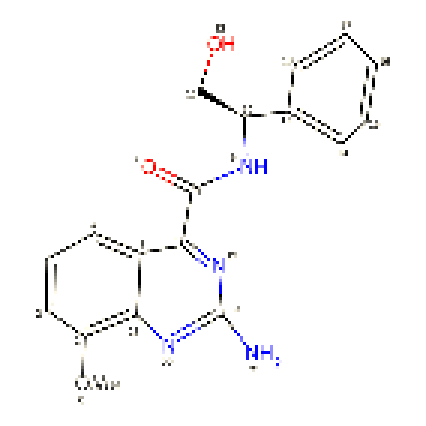 COc1cccc2c(C(=O)N[C@@H](CO)c3ccccc3)nc(N)nc12